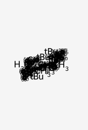 CC(C)(C)c1ccc(N2c3cc(N4c5ccc(-c6ccc(C(C)(C)CCC(C)(C)c7ccc(N8c9cc(N%10c%11ccc(-c%12ccccc%12)cc%11C%11(C)CCCCC%10%11C)ccc9B9c%10ccccc%10N(c%10ccccc%10)c%10cc(C(C)(C)C)cc8c%109)cc7)cc6)cc5C5(C)CCCCC45C)ccc3B3c4ccccc4N(c4ccccc4)c4cc(C(C)(C)C)cc2c43)cc1